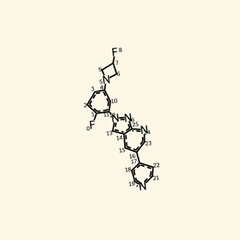 Fc1ccc(N2CC(F)C2)cc1-n1cc2cc(-c3ccncc3)cnc2n1